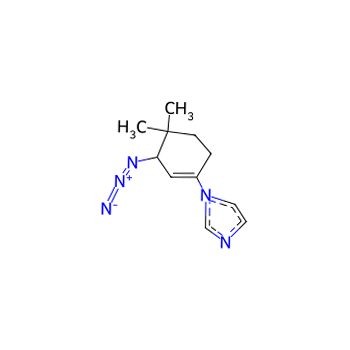 CC1(C)CCC(n2ccnc2)=CC1N=[N+]=[N-]